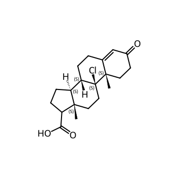 C[C@]12CCC(=O)C=C1CC[C@H]1[C@@H]3CCC(C(=O)O)[C@@]3(C)CC[C@]12Cl